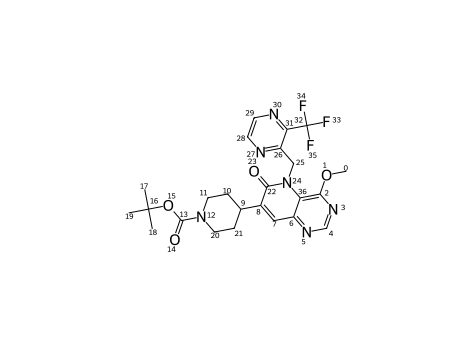 COc1ncnc2cc(C3CCN(C(=O)OC(C)(C)C)CC3)c(=O)n(Cc3nccnc3C(F)(F)F)c12